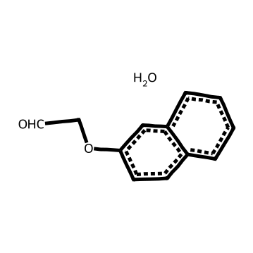 O.O=CCOc1ccc2ccccc2c1